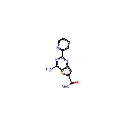 COC(=O)c1cc2nc(-c3ccccn3)nc(N)c2s1